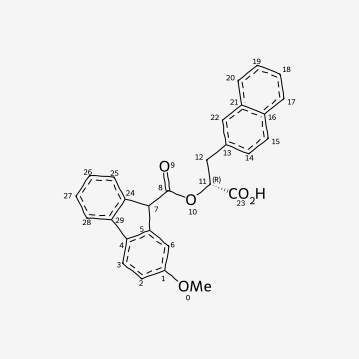 COc1ccc2c(c1)C(C(=O)O[C@H](Cc1ccc3ccccc3c1)C(=O)O)c1ccccc1-2